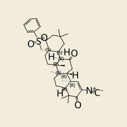 [C-]#[N+]C1=C[C@]2(C)[C@H]3CC(=O)[C@@H]4[C@@H]5CC(C)(C)CC[C@]5(CS(=O)(=O)c5ccccc5)CC[C@@]4(C)[C@]3(C)CC[C@H]2C(C)(C)C1=O